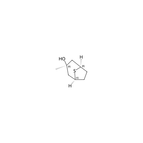 C[C@]1(O)C[C@H]2CC[C@@H](C1)S2